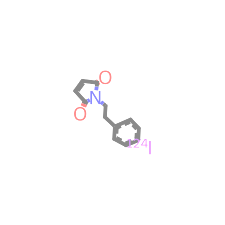 O=C1C=CC(=O)N1CCc1ccc([124I])cc1